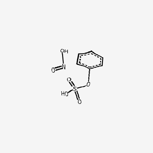 O=NO.O=S(=O)(O)Oc1ccccc1